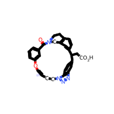 O=C(O)CC1c2ccc3c(c2)CN(CC3)C(=O)c2cccc(c2)O/C=C\CCn2nnc3cc1ccc32